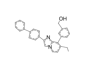 CCc1ccn2cc(-c3ccc(-c4ccccc4)cc3)nc2c1-c1cccc(CO)c1